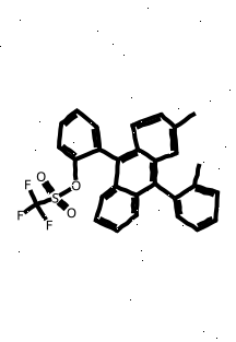 Cc1ccc2c(-c3ccccc3OS(=O)(=O)C(F)(F)F)c3ccccc3c(-c3ccccc3C)c2c1